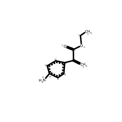 C=C(C(=O)OCC)c1ccc(N)cc1